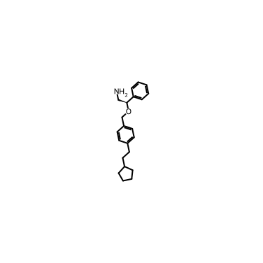 NC[C@H](OCc1ccc(CCC2CCCC2)cc1)c1ccccc1